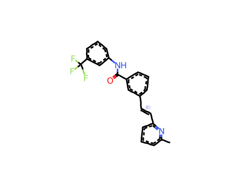 Cc1cccc(/C=C/c2cccc(C(=O)Nc3cccc(C(F)(F)F)c3)c2)n1